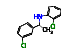 C[C@@H](Nc1ccccc1Cl)c1cccc(Cl)c1